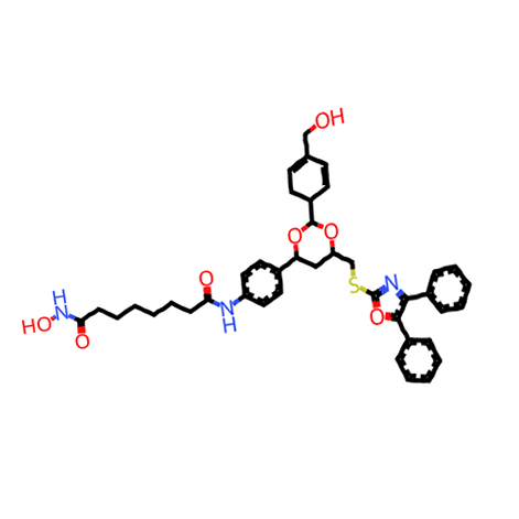 O=C(CCCCCCC(=O)Nc1ccc(C2CC(CSc3nc(-c4ccccc4)c(-c4ccccc4)o3)OC(C3C=CC(CO)=CC3)O2)cc1)NO